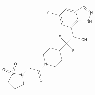 O=C(CN1CCCS1(=O)=O)N1CCC(C(F)(F)C(O)c2cc(Cl)cc3cn[nH]c23)CC1